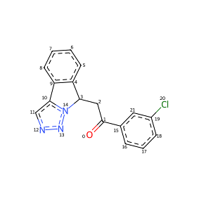 O=C(CC1c2ccccc2-c2cnnn21)c1cccc(Cl)c1